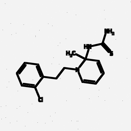 CC1(NC(N)=S)C=CC=CN1CCc1ccccc1Cl